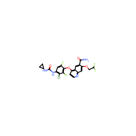 NC(=O)c1cc2c(Oc3c(F)cc(NC(=O)NC4CC4)c(Cl)c3F)ccnc2cc1OCC(F)F